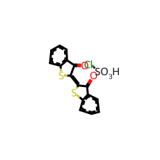 O=C1/C(=C2/Sc3ccccc3C2=O)Sc2ccccc21.O=S(=O)(O)Cl